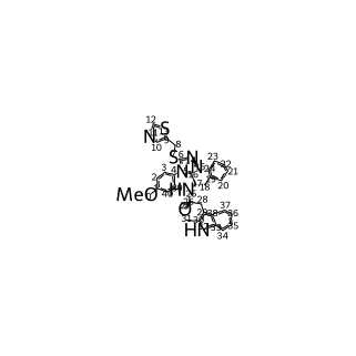 COc1ccc(-n2c(SCc3cncs3)nnc2[C@H](Cc2ccccc2)NC(=O)Cc2c(C)[nH]c3ccccc23)cc1